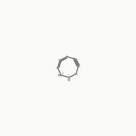 C1=CC#CCNNC=1